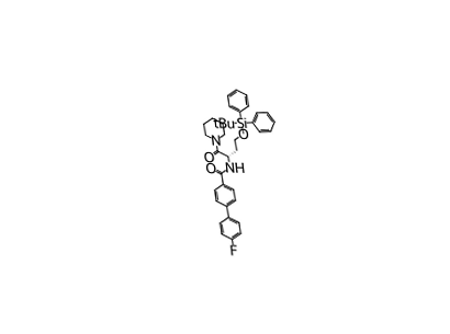 CC(C)(C)[Si](OCC[C@H](NC(=O)c1ccc(-c2ccc(F)cc2)cc1)C(=O)N1CCCCC1)(c1ccccc1)c1ccccc1